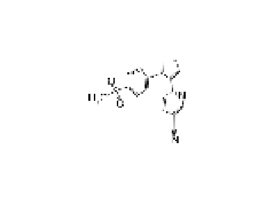 CS(=O)(=O)c1ccc(C2=CCC=C2c2ccc(C#N)cn2)cc1